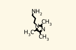 Cc1nc(C)n(CCCN)c1C